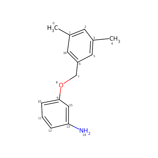 Cc1cc(C)cc(COc2cccc(N)c2)c1